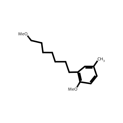 COCCCCCCCc1cc(C)ccc1OC